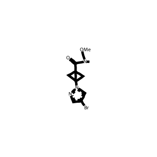 CON(C)C(=O)C12CC1(n1cc(Br)cn1)C2